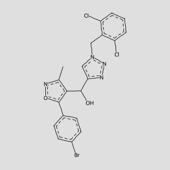 Cc1noc(-c2ccc(Br)cc2)c1C(O)c1cn(Cc2c(Cl)cccc2Cl)nn1